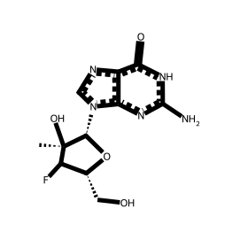 C[C@@]1(O)C(F)[C@@H](CO)O[C@H]1n1cnc2c(=O)[nH]c(N)nc21